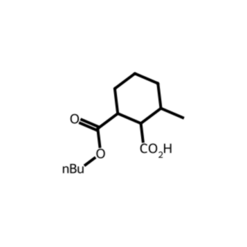 CCCCOC(=O)C1CCCC(C)C1C(=O)O